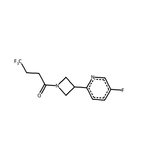 O=C(CCC(F)(F)F)N1CC(c2ccc(F)cn2)C1